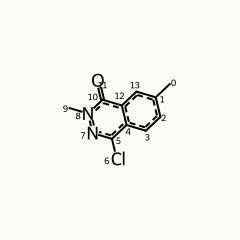 Cc1ccc2c(Cl)nn(C)c(=O)c2c1